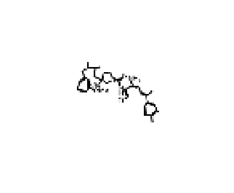 CC/C=C(NC(=O)N1CCC(CCCC)(CC(C)C(C)Cc2cccc(OC)c2)C1)/C(N)=C\C=C(/C)c1ccc(C)cc1